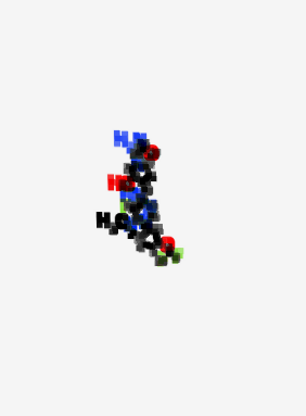 CN(Cc1ccc(OC(F)F)cc1)c1ncnc(NCC2CCN(CC(N)=O)CC2O)c1F